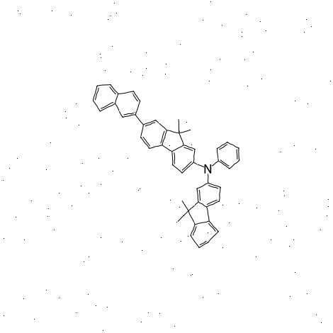 CC1(C)c2ccccc2-c2ccc(N(c3ccccc3)c3ccc4c(c3)C(C)(C)c3cc(-c5ccc6ccccc6c5)ccc3-4)cc21